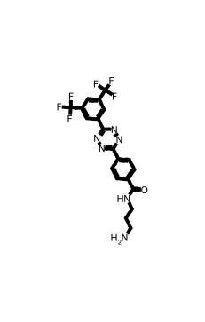 NCCCNC(=O)c1ccc(-c2nnc(-c3cc(C(F)(F)F)cc(C(F)(F)F)c3)nn2)cc1